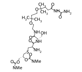 CNC(=O)OC[C@H](CSC[C@H](N)C(=O)N[C@@H](CO)C(=O)NCCOC(C)(C)CCOC(C)(C)CCC(=O)NCC(N)=O)OC(=O)NC